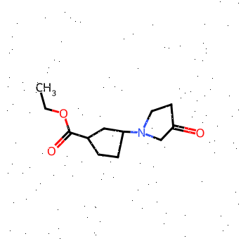 CCOC(=O)C1CCC(N2CCC(=O)C2)C1